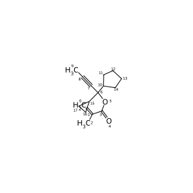 C=C(C)C(=O)OC(C#CC)(C1CCCC1)C1CC1